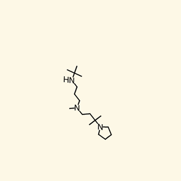 CN(CCCNC(C)(C)C)CCC(C)(C)N1CCCC1